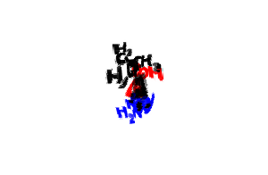 CCCC[Si](C)(C)OC[C@H]1O[C@@H](n2cnc3c(N)ncnc32)C[C@@H]1O